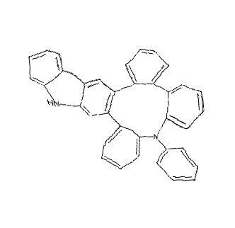 c1ccc(-n2c3ccccc3c3ccccc3c3cc4c(cc3c3ccccc32)[nH]c2ccccc24)cc1